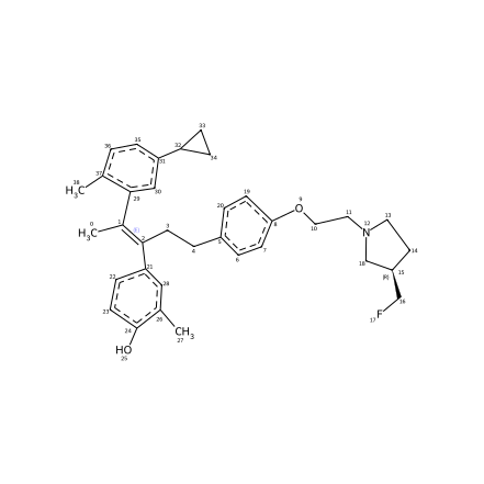 C/C(=C(/CCc1ccc(OCCN2CC[C@@H](CF)C2)cc1)c1ccc(O)c(C)c1)c1cc(C2CC2)ccc1C